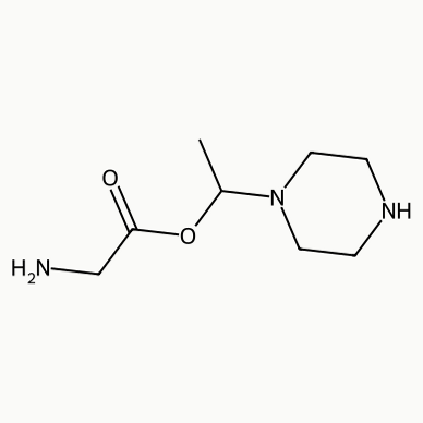 CC(OC(=O)CN)N1CCNCC1